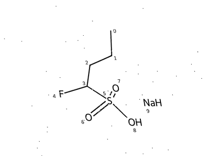 CCCC(F)S(=O)(=O)O.[NaH]